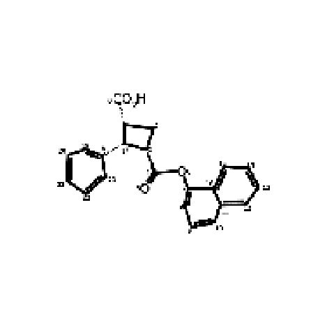 O=C(O)[C@@H]1C[C@@H](C(=O)Oc2cccc3ccccc23)[C@@H]1c1ccccc1